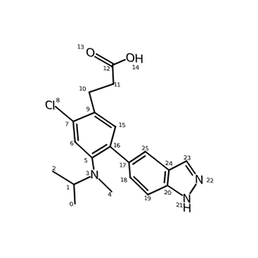 CC(C)N(C)c1cc(Cl)c(CCC(=O)O)cc1-c1ccc2[nH]ncc2c1